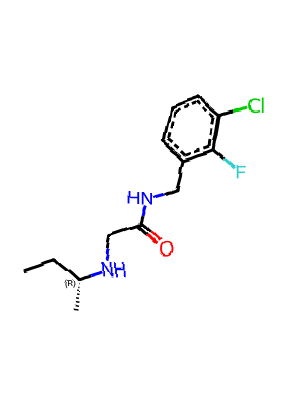 CC[C@@H](C)NCC(=O)NCc1cccc(Cl)c1F